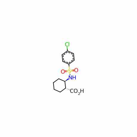 O=C(O)[C@@H]1CCCC[C@H]1NS(=O)(=O)c1ccc(Cl)cc1